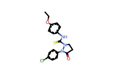 CCOc1ccc(NC(=S)N2CCC(=O)N2c2ccc(Cl)cc2)cc1